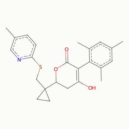 Cc1ccc(SCC2(C3CC(O)=C(c4c(C)cc(C)cc4C)C(=O)O3)CC2)nc1